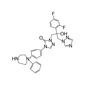 O=c1n(-c2ccc([N+]3(c4ccccc4)CCNCC3)cc2)cnn1CC(O)(Cn1cncn1)c1ccc(F)cc1F